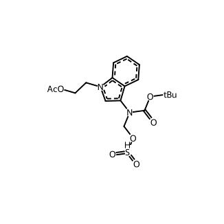 CC(=O)OCCn1cc(N(CO[SH](=O)=O)C(=O)OC(C)(C)C)c2ccccc21